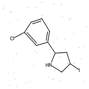 Clc1cccc(C2CC(I)CN2)c1